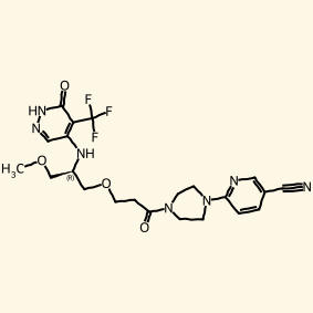 COC[C@H](COCCC(=O)N1CCN(c2ccc(C#N)cn2)CC1)Nc1cn[nH]c(=O)c1C(F)(F)F